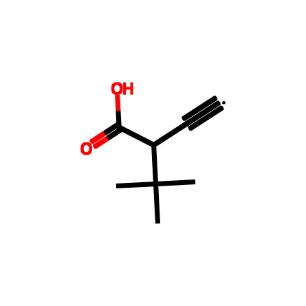 [C]#CC(C(=O)O)C(C)(C)C